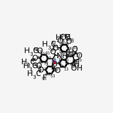 COc1cc(/C=C(/C(=O)Nc2c3c(cc4c2[C@@H](c2cc(OC)c(OC)c(OC)c2)[C@H]2C(=O)OC[C@@H]2[C@H]4O)OCO3)c2cc(OC)c(OC)c(OC)c2)ccc1F